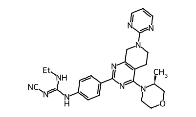 CCN/C(=N\C#N)Nc1ccc(-c2nc3c(c(N4CCOC[C@@H]4C)n2)CCN(c2ncccn2)C3)cc1